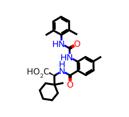 Cc1ccc(C(=O)N[C@H](C(=O)O)C2(C)CCCCC2)c(NC(=O)Nc2c(C)cccc2C)c1